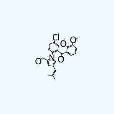 COc1cccc(C(=O)c2cc(Cl)ccc2-n2cc(C=C(C)C)cc2C=O)c1OC